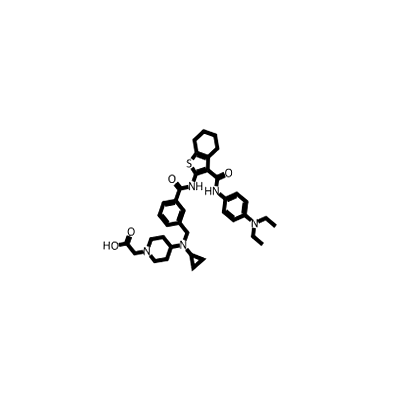 CCN(CC)c1ccc(NC(=O)c2c(NC(=O)c3cccc(CN(C4CC4)C4CCN(CC(=O)O)CC4)c3)sc3c2CCCC3)cc1